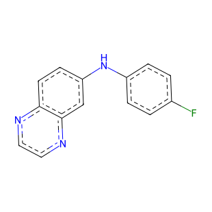 Fc1ccc(Nc2ccc3nccnc3c2)cc1